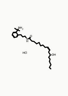 CCCCCC[C@@H](O)C/C=C\CCCCCCCC(=O)NCCCc1ccccc1C(C)(C)N.Cl